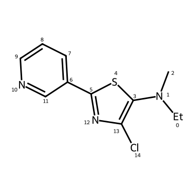 CCN(C)c1sc(-c2cccnc2)nc1Cl